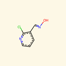 ON=Cc1cccnc1Cl